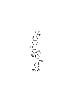 O=C(c1ccc2[nH]nnc2c1)N1C[C@@H]2[C@H](C1)[C@H]1CN(C(=O)N3CCc4cc(C(F)(F)F)ccc4C3)C[C@@H]21